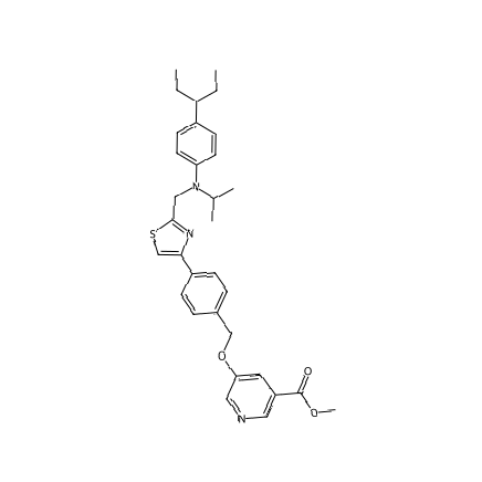 CCC(CC)c1ccc(N(Cc2nc(-c3ccc(COc4cncc(C(=O)OC)c4)cc3)cs2)C(C)C)cc1